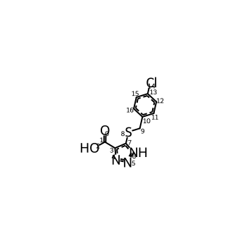 O=C(O)c1nn[nH]c1SCc1ccc(Cl)cc1